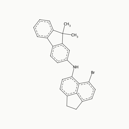 CC1(C)c2ccccc2-c2ccc(Nc3ccc4c5c(ccc(Br)c35)CC4)cc21